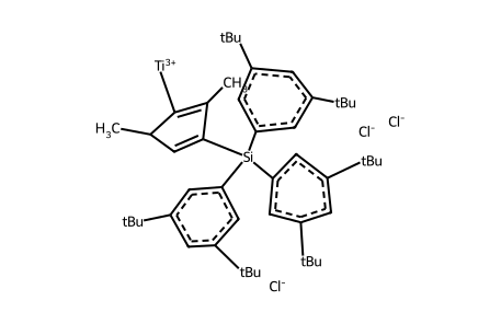 CC1=[C]([Ti+3])C(C)C=C1[Si](c1cc(C(C)(C)C)cc(C(C)(C)C)c1)(c1cc(C(C)(C)C)cc(C(C)(C)C)c1)c1cc(C(C)(C)C)cc(C(C)(C)C)c1.[Cl-].[Cl-].[Cl-]